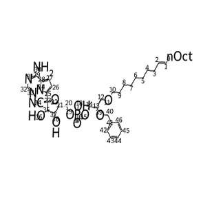 CCCCCCCC/C=C/CCCCCCCCOC[C@H](COP(=O)(O)OC[C@H]1O[C@@](C#N)(c2ccc3c(N)ncnn23)[C@H](O)[C@@H]1O)OCc1ccccc1